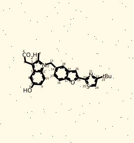 Cc1c(CC(=O)O)c2cc(O)ccc2n1Cc1ccc2oc(-c3nc(C(C)(C)C)cs3)cc2c1